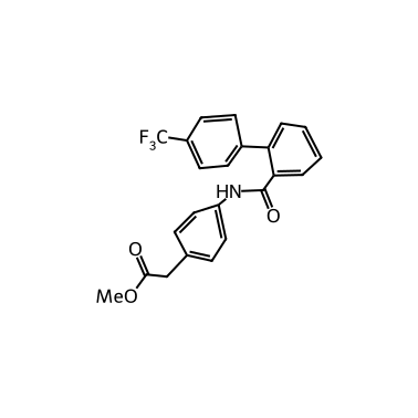 COC(=O)Cc1ccc(NC(=O)c2ccccc2-c2ccc(C(F)(F)F)cc2)cc1